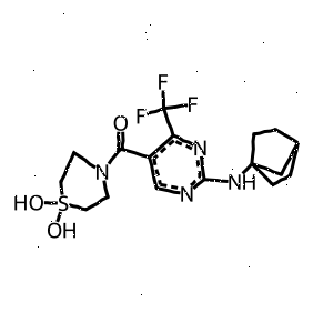 O=C(c1cnc(NC23CCC(CC2)C3)nc1C(F)(F)F)N1CCS(O)(O)CC1